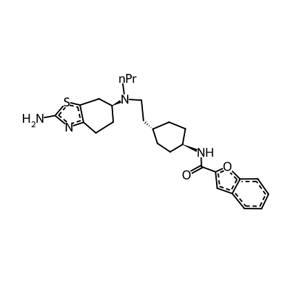 CCCN(CC[C@H]1CC[C@H](NC(=O)c2cc3ccccc3o2)CC1)[C@H]1CCc2nc(N)sc2C1